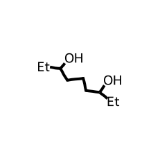 CCC(O)CCCC(O)CC